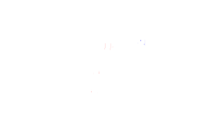 Oc1cnccc1CCCOC1CCCCO1